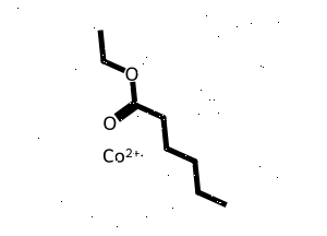 CCCCCC(=O)OCC.[Co+2]